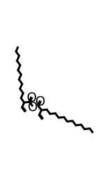 C=CC(CCCCCCCCCCCC)C(=O)OC(=O)C(C=C)CCCCCCCCCCCC